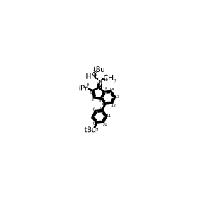 CC(C)C1=Cc2c(-c3ccc(C(C)(C)C)cc3)cccc2C1[SiH](C)NC(C)(C)C